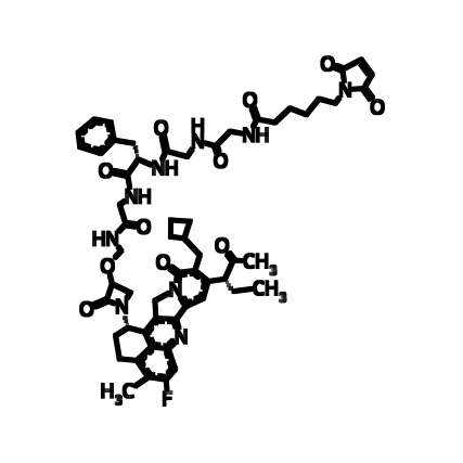 CC[C@@H](C(C)=O)c1cc2n(c(=O)c1CC1CCC1)Cc1c-2nc2cc(F)c(C)c3c2c1[C@@H](N1CC(OCNC(=O)CNC(=O)[C@H](Cc2ccccc2)NC(=O)CNC(=O)CNC(=O)CCCCCN2C(=O)C=CC2=O)C1=O)CC3